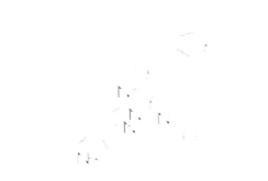 Cc1cccc(CCOc2cc(N3CCOCC3)n3nc(-c4ccncc4)cc3n2)c1